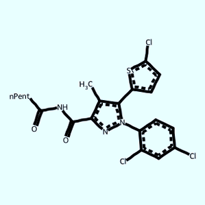 CCCCCC(=O)NC(=O)c1nn(-c2ccc(Cl)cc2Cl)c(-c2ccc(Cl)s2)c1C